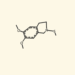 COc1cc2c(cc1OC)CN(SC)CC2